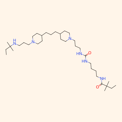 CCC(C)(C)NCCCN1CCC(CCCC2CCN(CCCNC(=O)NCCCCNC(=O)C(C)(C)CC)CC2)CC1